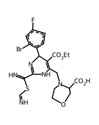 CCOC(=O)C1=C(CN2CCOCC2C(=O)O)NC(C(=N)SC=N)=NC1c1ccc(F)cc1Br